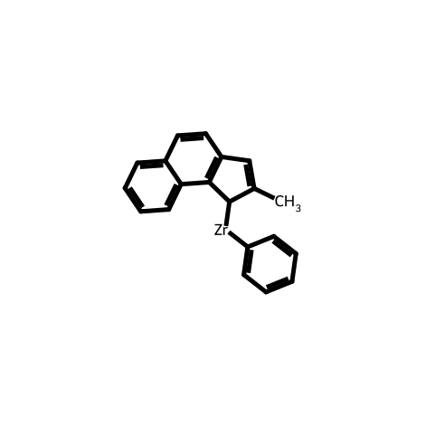 CC1=Cc2ccc3ccccc3c2[CH]1[Zr][c]1ccccc1